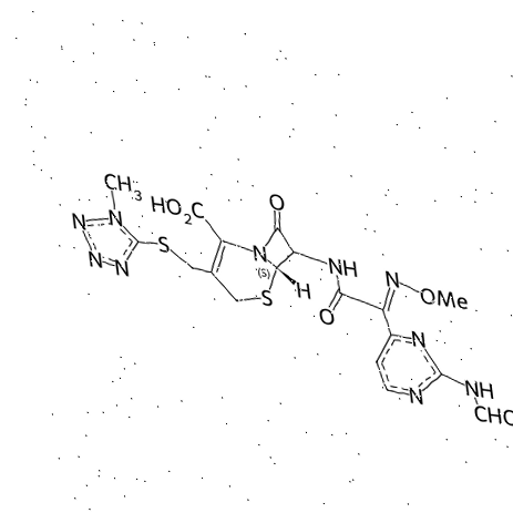 CON=C(C(=O)NC1C(=O)N2C(C(=O)O)=C(CSc3nnnn3C)CS[C@@H]12)c1ccnc(NC=O)n1